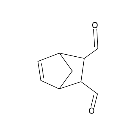 O=CC1C2C=CC(C2)C1C=O